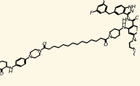 CN1CCN(c2ccc(C(=O)Nc3n[nH]c4ccc(Cc5cc(F)cc(F)c5)cc34)c(NC3CCN(C(=O)CCCCCCCCCCCCC(=O)N4CCN(c5ccc(NC6CCC(=O)NC6=O)cc5)CC4)CC3)c2)CC1